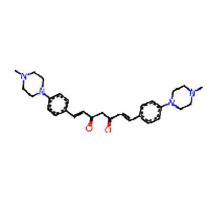 CN1CCN(c2ccc(C=CC(=O)CC(=O)C=Cc3ccc(N4CCN(C)CC4)cc3)cc2)CC1